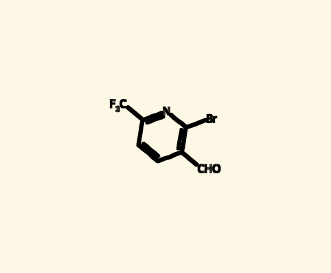 O=Cc1ccc(C(F)(F)F)nc1Br